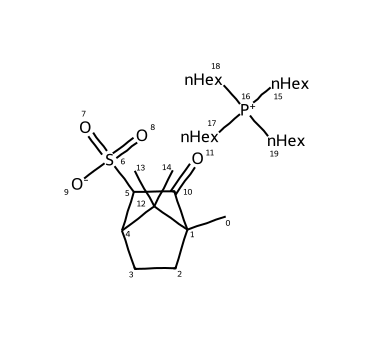 CC12CCC(C(S(=O)(=O)[O-])C1=O)C2(C)C.CCCCCC[P+](CCCCCC)(CCCCCC)CCCCCC